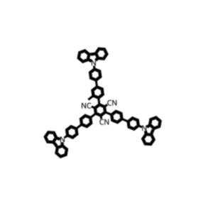 Cc1cc(-c2ccc(-n3c4ccccc4c4ccccc43)cc2)ccc1-c1c(C#N)c(-c2ccc(-c3ccc(-n4c5ccccc5c5ccccc54)cc3)cc2)c(C#N)c(-c2ccc(-c3ccc(-n4c5ccccc5c5ccccc54)cc3)cc2)c1C#N